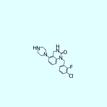 O=C1NCc2c(N3CCNCC3)cccc2N1Cc1cccc(Cl)c1F